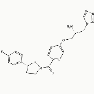 N[C@@H](COc1ccc(C(=O)N2CC[C@H](c3ccc(F)cc3)C2)cc1)Cn1cnnn1